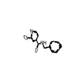 O=C(NCc1ccccc1)c1ccnc(Cl)c1